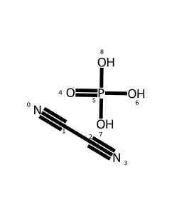 N#CC#N.O=P(O)(O)O